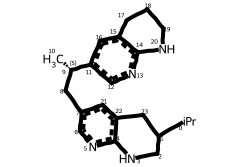 CC(C)C1CNc2ncc(C[C@H](C)c3cnc4c(c3)CCCN4)cc2C1